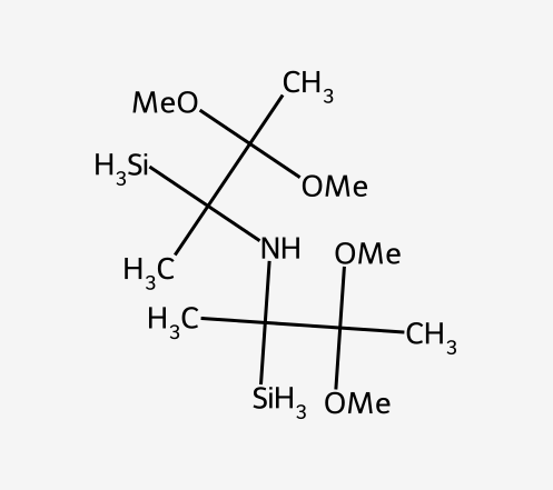 COC(C)(OC)C(C)([SiH3])NC(C)([SiH3])C(C)(OC)OC